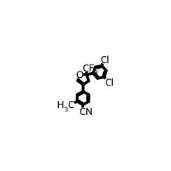 Cc1cc(C2=COC(c3cc(Cl)cc(Cl)c3)(C(F)(F)F)C2)ccc1C#N